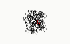 C[Si](CC(=C([SiH3])[Si](C)(O[SiH2]O[SiH2][Si](C)(C)C)O[SiH2][Si](C)(C)C)[Si](C)(O[SiH2]O[SiH2][Si](C)(C)C)O[SiH2][Si](C)(C)C)(O[SiH2]O[SiH2][Si](C)(C)C)O[SiH2][Si](C)(C)C